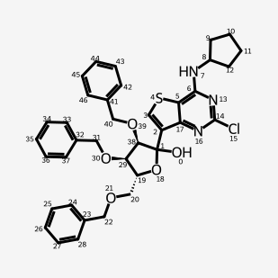 OC1(c2csc3c(NC4CCCC4)nc(Cl)nc23)O[C@H](COCc2ccccc2)[C@@H](OCc2ccccc2)[C@H]1OCc1ccccc1